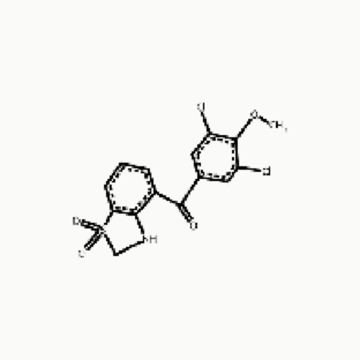 COc1c(Cl)cc(C(=O)c2cccc3c2NCS3(=O)=O)cc1Cl